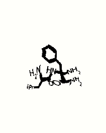 CC(C)CC(N)C(=O)NC(N)(Cc1ccccc1)C(N)=O